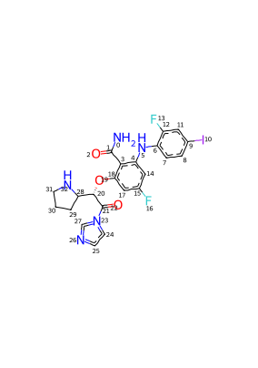 NC(=O)c1c(Nc2ccc(I)cc2F)cc(F)cc1O[C@H](C(=O)n1ccnc1)C1CCCN1